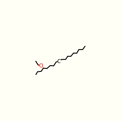 CCCCCCCCCCCCCCC(CCC)OCC